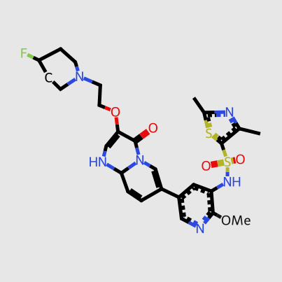 COc1ncc(C2=CN3C(=O)C(OCCN4CCC(F)CC4)=CNC3C=C2)cc1NS(=O)(=O)c1sc(C)nc1C